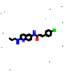 CCCNc1ccc2cc(NC(=O)C=Cc3ccc(Cl)cc3)ccc2n1